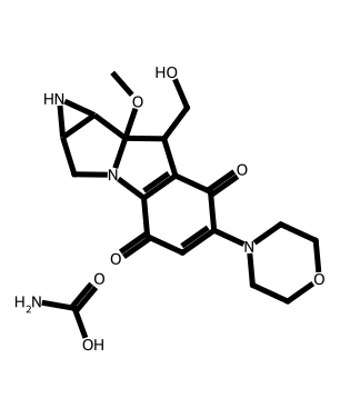 COC12C(CO)C3=C(C(=O)C=C(N4CCOCC4)C3=O)N1CC1NC12.NC(=O)O